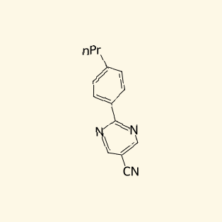 CCCc1ccc(-c2ncc(C#N)cn2)cc1